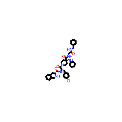 O=C(CNC(=O)C1(NC2=CC=CCC2)CCN(C(=O)[C@@H](Cc2ccc(Cl)cc2)NC(=O)[C@H]2Cc3ccccc3CN2)CC1)NCc1ccccc1